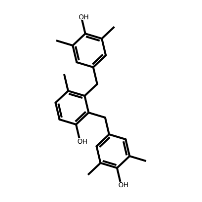 Cc1cc(Cc2c(C)ccc(O)c2Cc2cc(C)c(O)c(C)c2)cc(C)c1O